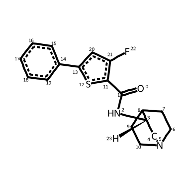 O=C(N[C@H]1CN2CCC1CC2)c1sc(-c2ccccc2)cc1F